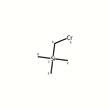 C[Si](C)(C)[CH2][Cr]